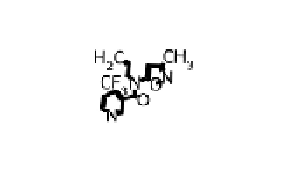 C=CCN(C(=O)c1cnccc1C(F)(F)F)c1cc(C)no1